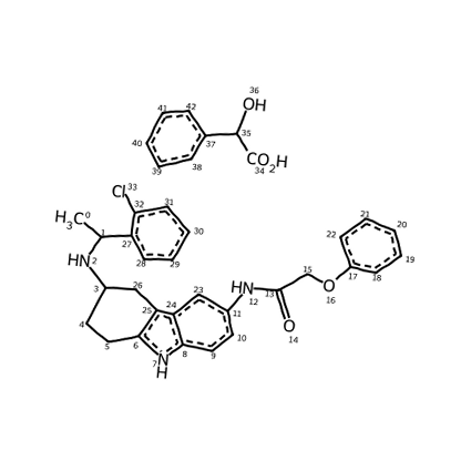 CC(NC1CCc2[nH]c3ccc(NC(=O)COc4ccccc4)cc3c2C1)c1ccccc1Cl.O=C(O)C(O)c1ccccc1